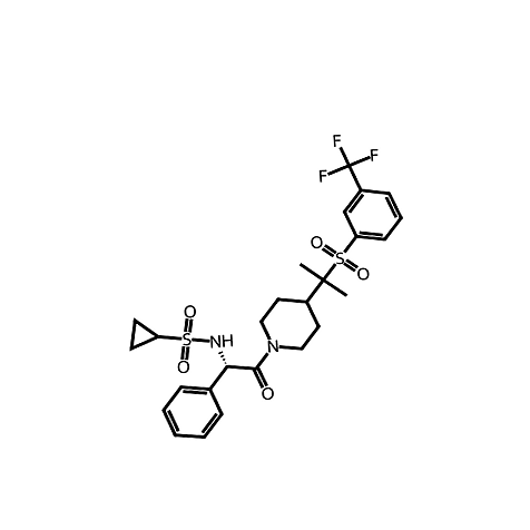 CC(C)(C1CCN(C(=O)[C@@H](NS(=O)(=O)C2CC2)c2ccccc2)CC1)S(=O)(=O)c1cccc(C(F)(F)F)c1